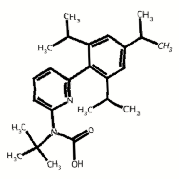 CC(C)c1cc(C(C)C)c(-c2cccc(N(C(=O)O)C(C)(C)C)n2)c(C(C)C)c1